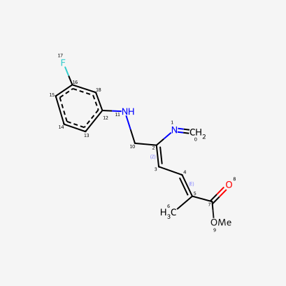 C=N/C(=C\C=C(/C)C(=O)OC)CNc1cccc(F)c1